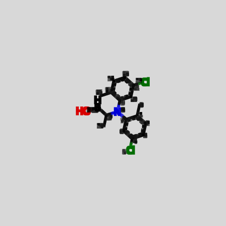 Cc1ccc(Cl)cc1N(c1cc(Cl)ccc1C)C(C)BO